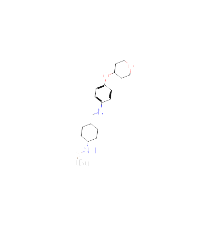 CC(C)(C)SN[C@H]1CC[C@H](CNc2ccc(OC3CCOCC3)cc2)CC1